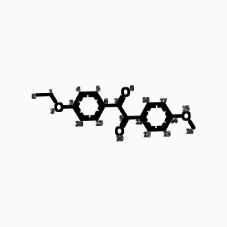 CCOc1ccc(C(=O)C(=O)c2ccc(OC)cc2)cc1